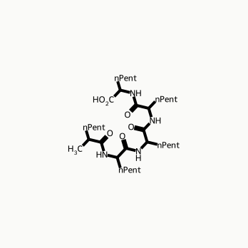 CCCCCC(C)C(=O)NC(CCCCC)C(=O)NC(CCCCC)C(=O)NC(CCCCC)C(=O)NC(CCCCC)C(=O)O